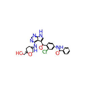 O=C(Nc1ccc(C(=O)c2c[nH]c3ncnc(N[C@@H]4CC[C@H](CO)OC4)c23)c(Cl)c1)c1ccccc1